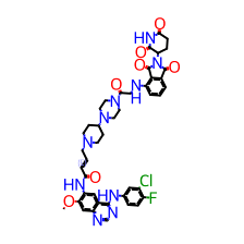 COc1cc2ncnc(Nc3ccc(F)c(Cl)c3)c2cc1NC(=O)/C=C/CN1CCC(N2CCN(C(=O)CNc3cccc4c3C(=O)N(C3CCC(=O)NC3=O)C4=O)CC2)CC1